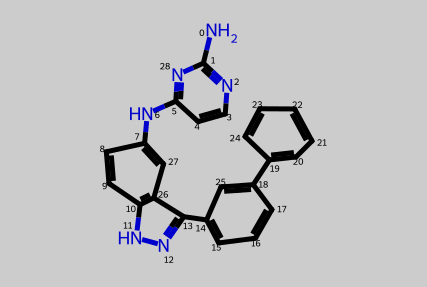 Nc1nccc(Nc2ccc3[nH]nc(-c4cccc(-c5ccccc5)c4)c3c2)n1